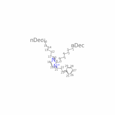 CCCCCCCCCCCCCCCCCc1n(CCCCCCCCCCCCCCCCC)cc[n+]1CCCc1ccccc1